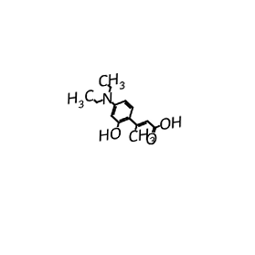 CCN(CC)c1ccc(C(C)=CC(=O)O)c(O)c1